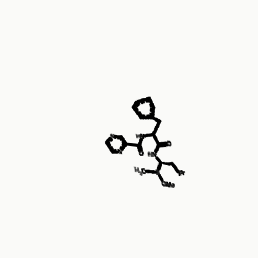 COB(C)[C@H](CC(C)C)NC(=O)C(Cc1ccccc1)NC(=O)c1cnccn1